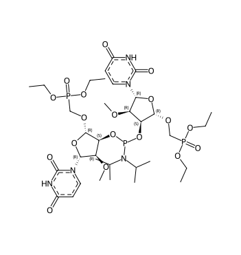 CCOP(=O)(CO[C@H]1O[C@@H](n2ccc(=O)[nH]c2=O)[C@H](OC)[C@@H]1OP(O[C@@H]1[C@@H](OCP(=O)(OCC)OCC)O[C@@H](n2ccc(=O)[nH]c2=O)[C@@H]1OC)N(C(C)C)C(C)C)OCC